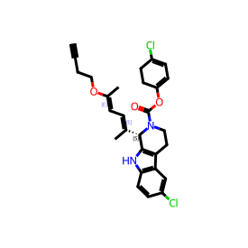 C#CCCO/C(C)=C/C=C(\C)[C@H]1c2[nH]c3ccc(Cl)cc3c2CCN1C(=O)OC1=CC=C(Cl)CC1